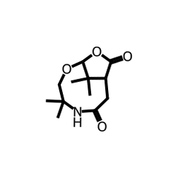 CC1(C)COC2OC(=O)C(CC(=O)N1)C2(C)C